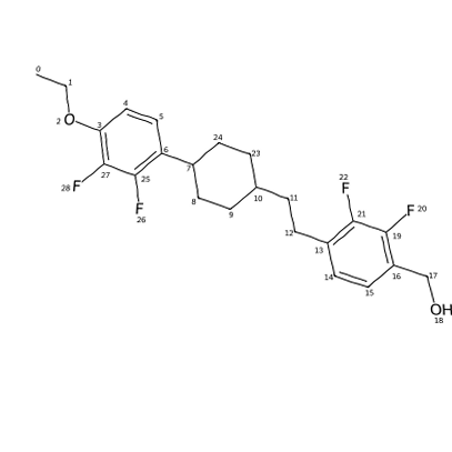 CCOc1ccc(C2CCC(CCc3ccc(CO)c(F)c3F)CC2)c(F)c1F